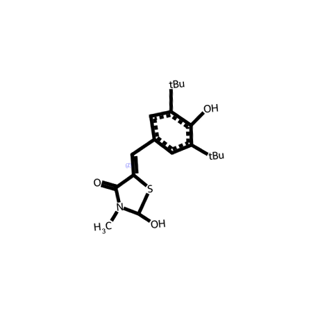 CN1C(=O)/C(=C/c2cc(C(C)(C)C)c(O)c(C(C)(C)C)c2)SC1O